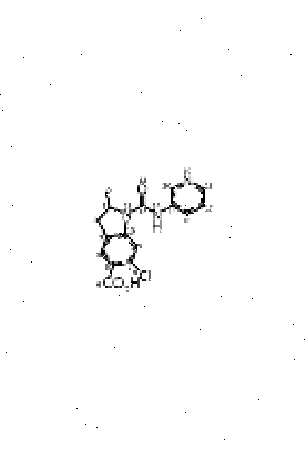 CC1Cc2cc(C(=O)O)c(Cl)cc2N1C(=O)Nc1cccnc1